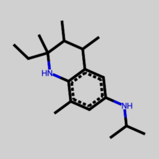 CCC1(C)Nc2c(C)cc(NC(C)C)cc2C(C)C1C